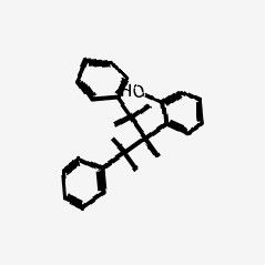 CC(C)(c1ccccc1)C(C)(c1ccccc1O)C(C)(C)c1ccccc1